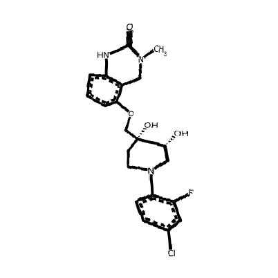 CN1Cc2c(cccc2OC[C@]2(O)CCN(c3ccc(Cl)cc3F)C[C@H]2O)NC1=O